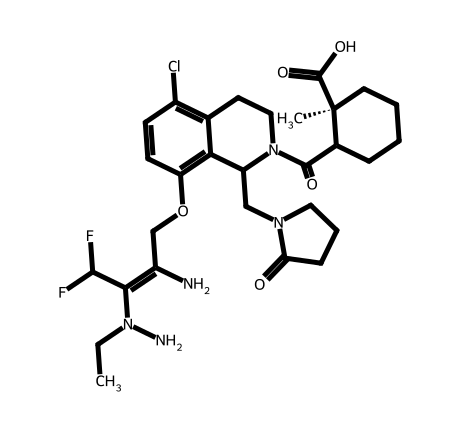 CCN(N)/C(=C(\N)COc1ccc(Cl)c2c1C(CN1CCCC1=O)N(C(=O)C1CCCC[C@]1(C)C(=O)O)CC2)C(F)F